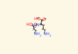 NCCC(=O)O.NCCC[C@H](N)C(=O)O